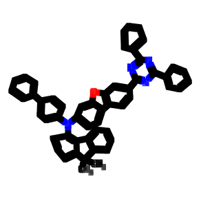 CC1(C)c2ccccc2-c2c(N(c3ccc(-c4ccccc4)cc3)c3ccc4c(c3)oc3cc(-c5nc(-c6ccccc6)nc(-c6ccccc6)n5)ccc34)cccc21